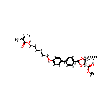 C=C(C)C(=O)OCCCCCCOc1ccc(-c2ccc(C3O[C@@H](C(=O)O)[C@H](C(=O)OC(C)C)O3)cc2)cc1